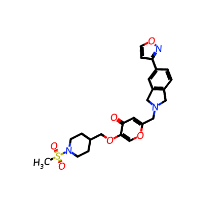 CS(=O)(=O)N1CCC(COc2coc(CN3Cc4ccc(-c5ccon5)cc4C3)cc2=O)CC1